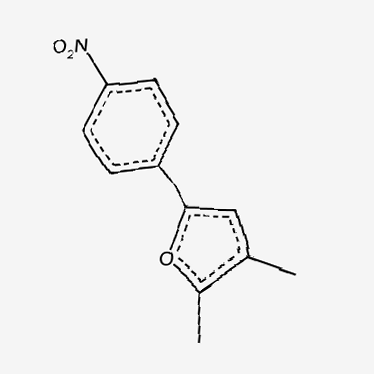 Cc1cc(-c2ccc([N+](=O)[O-])cc2)oc1C